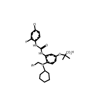 CC(C)CN(c1ccc(OC(C)(C)C(=O)O)cc1NC(=O)Nc1ccc(Cl)cc1F)C1CCCCC1